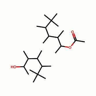 CC(=O)OC(C)C(C)C(C)C(C)C(C)(C)C.CC(O)C(C)C(C)C(C)C(C)(C)C